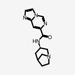 O=C(N[C@@H]1CC2CCN(C2)C1)c1cc2nccn2cn1